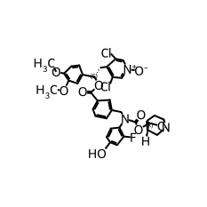 COc1ccc([C@H](Cc2c(Cl)c[n+]([O-])cc2Cl)OC(=O)c2cccc(CN(C(=O)O[C@H]3CN4CCC3CC4)c3ccc(O)cc3F)c2)cc1OC